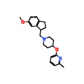 COc1ccc2c(c1)C(CN1CCC(Oc3cccc(C)n3)CC1)CC2